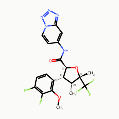 COc1c([C@@H]2[C@@H](C(=O)Nc3ccn4nnnc4c3)O[C@](C)(C(F)(F)F)[C@@H]2C)ccc(F)c1F